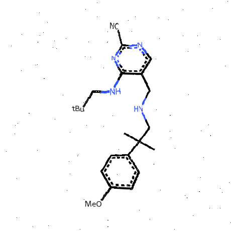 COc1ccc(C(C)(C)CNCc2cnc(C#N)nc2NCC(C)(C)C)cc1